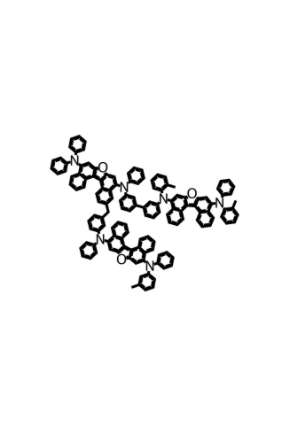 Cc1cccc(N(c2ccccc2)c2cc3oc4cc(N(c5ccccc5)c5cccc(Cc6ccc7c(c6)c(N(c6ccccc6)c6cccc(-c8cccc(N(c9ccccc9C)c9cc%10oc%11cc(N(c%12ccccc%12)c%12ccccc%12C)c%12ccccc%12c%11c%10c%10ccccc9%10)c8)c6)cc6oc8cc(N(c9ccccc9)c9ccccc9)c9ccccc9c8c67)c5)c5ccccc5c4c3c3ccccc23)c1